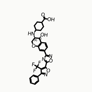 O=C(O)C1CCC(N[C@@H]2COc3cc(-c4noc(-c5onc(-c6ccccc6)c5C(F)(F)F)n4)ccc3[C@@H]2O)CC1